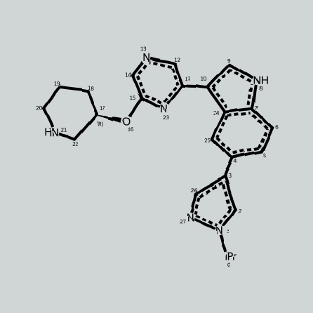 CC(C)n1cc(-c2ccc3[nH]cc(-c4cncc(O[C@@H]5CCCNC5)n4)c3c2)cn1